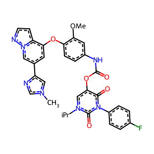 COc1cc(NC(=O)Oc2cn(C(C)C)c(=O)n(-c3ccc(F)cc3)c2=O)ccc1Oc1cc(-c2cn(C)cn2)cn2nccc12